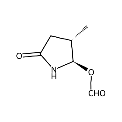 C[C@H]1CC(=O)N[C@@H]1OC=O